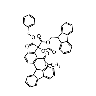 COC(=O)c1c(C2c3ccccc3-c3ccccc32)cccc1C(O[C]=O)(C(=O)OCc1ccccc1)C(=O)OCC1c2ccccc2-c2ccccc21